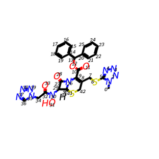 Cn1nnnc1SCC1=C(C(=O)OC(c2ccccc2)c2ccccc2)N2C(=O)C(N(O)C(=O)Cn3cnnn3)[C@@H]2SC1